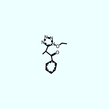 CCOn1nnnc1C(C)C(=O)c1ccccc1